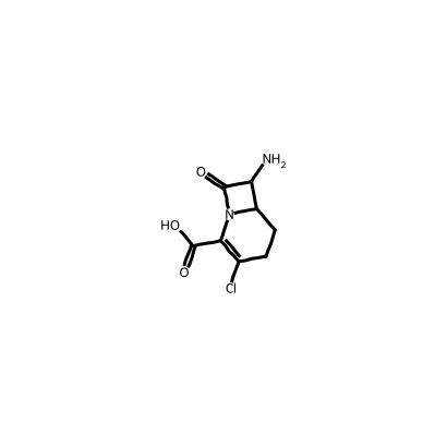 NC1C(=O)N2C(C(=O)O)=C(Cl)CCC12